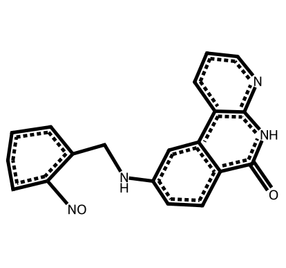 O=Nc1ccccc1CNc1ccc2c(=O)[nH]c3ncccc3c2c1